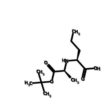 CCC[C@H](N[C@@H](C)C(=O)OC(C)(C)C)C(=O)O